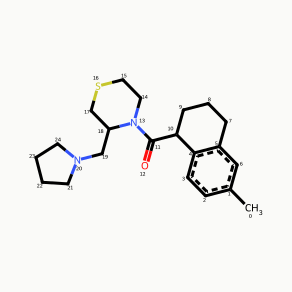 Cc1ccc2c(c1)CCCC2C(=O)N1CCSCC1CN1CCCC1